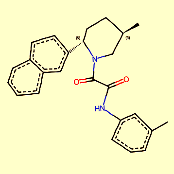 Cc1cccc(NC(=O)C(=O)N2C[C@H](C)CC[C@H]2c2ccc3ccccc3c2)c1